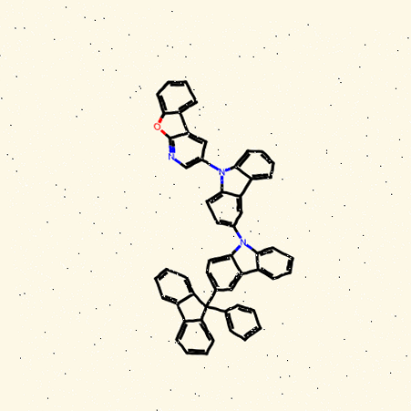 c1ccc(C2(c3ccc4c(c3)c3ccccc3n4-c3ccc4c(c3)c3ccccc3n4-c3cnc4oc5ccccc5c4c3)c3ccccc3-c3ccccc32)cc1